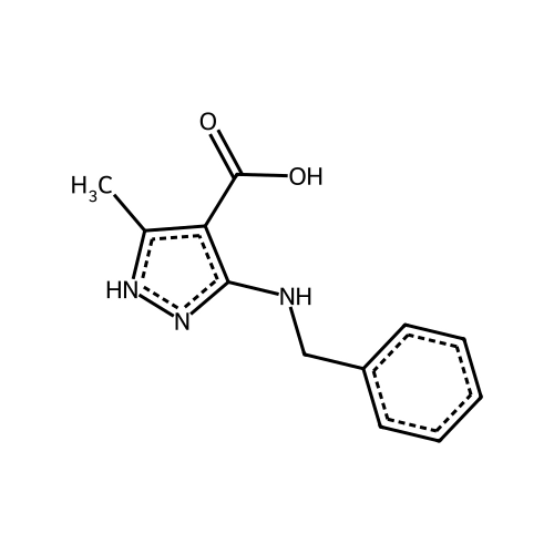 Cc1[nH]nc(NCc2ccccc2)c1C(=O)O